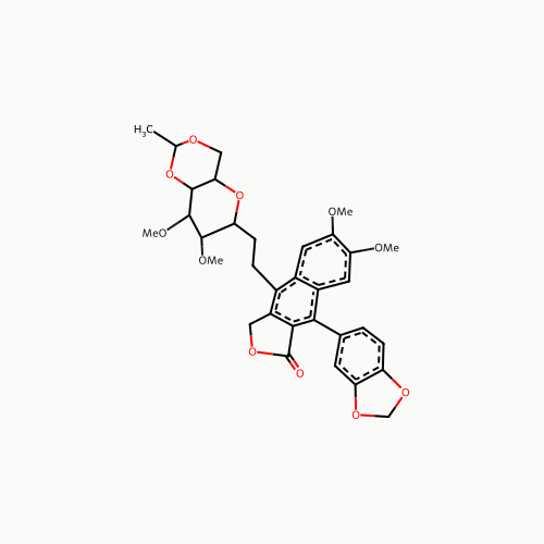 COc1cc2c(CCC3OC4COC(C)OC4C(OC)C3OC)c3c(c(-c4ccc5c(c4)OCO5)c2cc1OC)C(=O)OC3